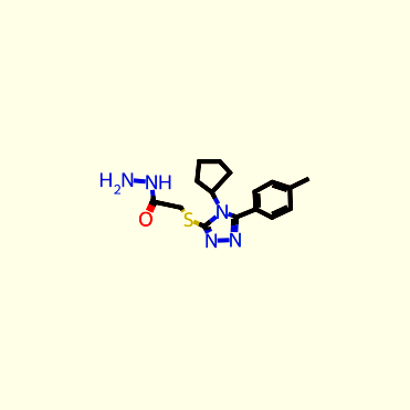 Cc1ccc(-c2nnc(SCC(=O)NN)n2C2CCCC2)cc1